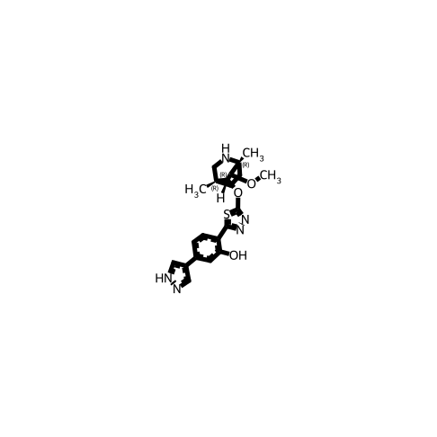 COC1[C@H](Oc2nnc(-c3ccc(-c4cn[nH]c4)cc3O)s2)[C@]2(C)CC[C@@]1(C)NC2